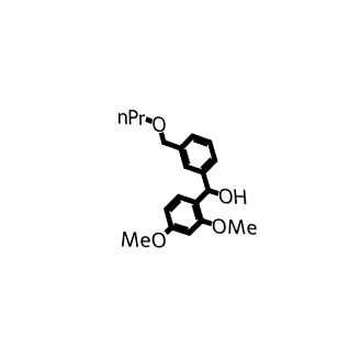 CCCOCc1cccc(C(O)c2ccc(OC)cc2OC)c1